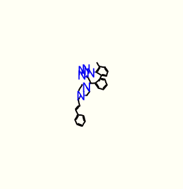 Cc1cccc(C)c1-n1nnnc1[C@@H](c1ccccc1)N1CCN(C/C=C/c2ccccc2)CC1